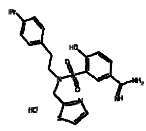 CC(C)c1ccc(CCN(Cc2nccs2)S(=O)(=O)c2cc(C(=N)N)ccc2O)cc1.Cl